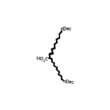 CCCCCCCCCCCCCCCCCCC=CC(=CCCCCCCCCCCCCCCCCCCC)C(=O)O